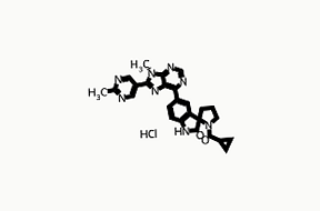 Cc1ncc(-c2nc3c(-c4ccc5c(c4)C4(CCCN4C(=O)C4CC4)C(=O)N5)ncnc3n2C)cn1.Cl